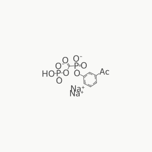 CC(=O)c1cccc(OP(=O)([O-])C(=O)OP(=O)([O-])O)c1.[Na+].[Na+]